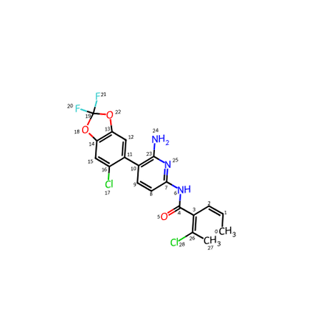 C/C=C\C(C(=O)Nc1ccc(-c2cc3c(cc2Cl)OC(F)(F)O3)c(N)n1)=C(/C)Cl